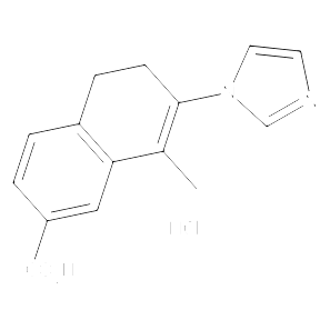 CC1=C(n2ccnc2)CCc2ccc(C(=O)O)cc21.Cl